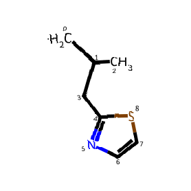 [CH2]C(C)Cc1nccs1